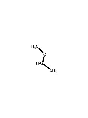 CO[AsH]C